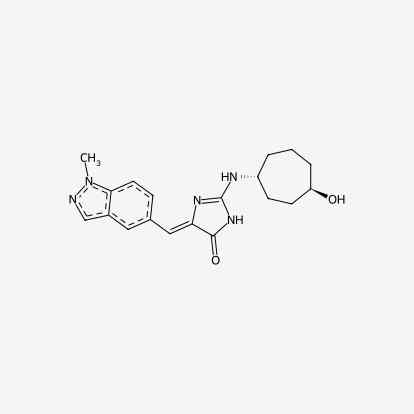 Cn1ncc2cc(/C=C3\N=C(N[C@@H]4CCC[C@@H](O)CC4)NC3=O)ccc21